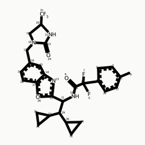 Cc1ccc(C(F)(F)C(=O)NC(c2nc3cc(CN4CC(C(F)(F)F)NC4=O)ccc3o2)C(C2CC2)C2CC2)cc1